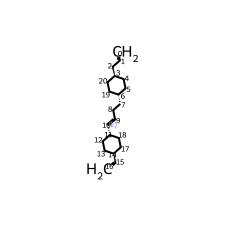 C=CC[C@H]1CC[C@H](CC/C=C/[C@H]2CC[C@H](C=C)CC2)CC1